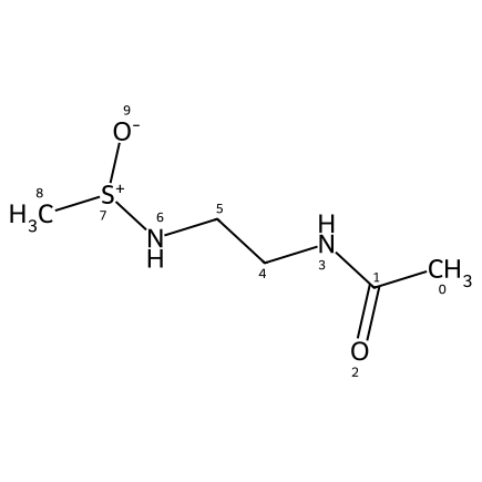 CC(=O)NCCN[S+](C)[O-]